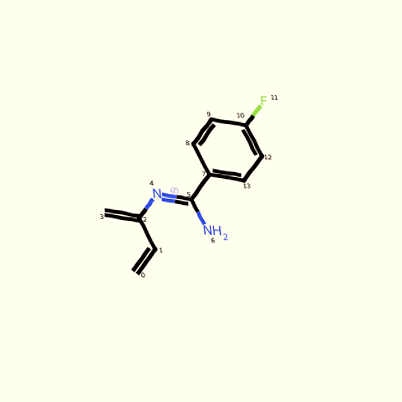 C=CC(=C)/N=C(\N)c1ccc(F)cc1